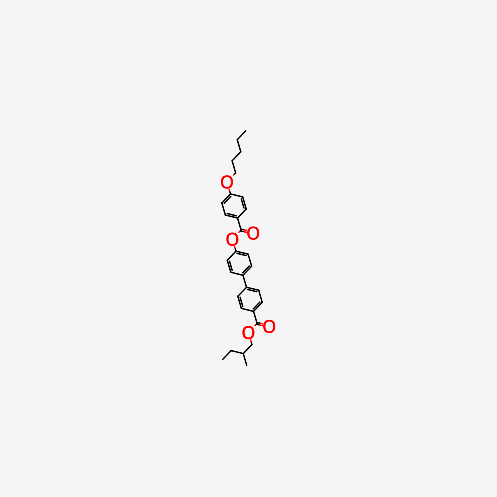 CCCCCOc1ccc(C(=O)Oc2ccc(-c3ccc(C(=O)OCC(C)CC)cc3)cc2)cc1